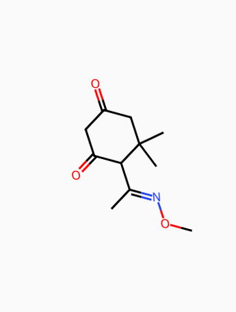 CON=C(C)C1C(=O)CC(=O)CC1(C)C